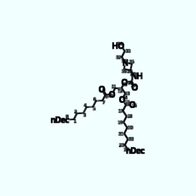 CCCCCCCCCCCCCCCCCC(=O)OCC(COC(=O)CCCCCCCCCCCCCCCCC)OC(=O)NC1CN(CCO)C1